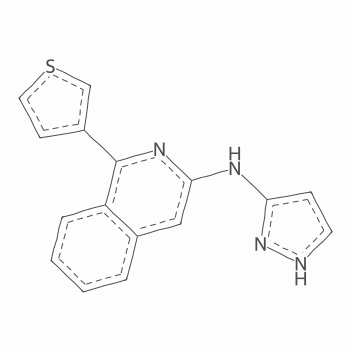 c1ccc2c(-c3ccsc3)nc(Nc3cc[nH]n3)cc2c1